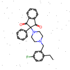 CCc1ccc(F)cc1CN1CCN(C2(c3ccccc3)C(=O)c3ccccc3C2=O)CC1